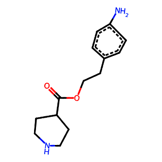 Nc1ccc(CCOC(=O)C2CCNCC2)cc1